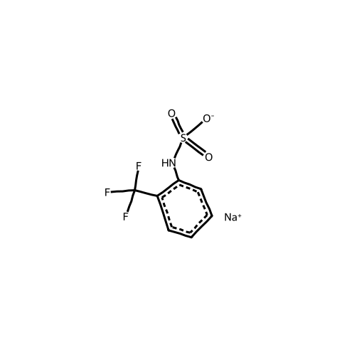 O=S(=O)([O-])Nc1ccccc1C(F)(F)F.[Na+]